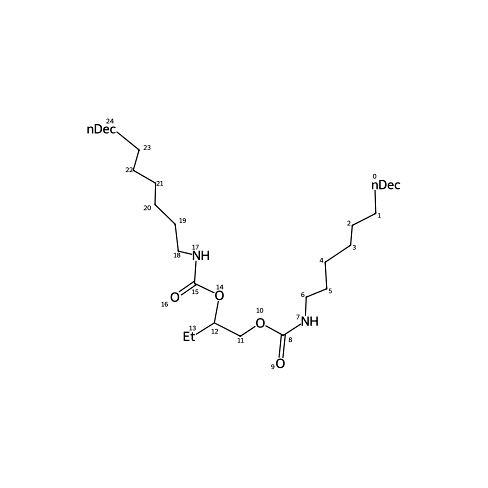 CCCCCCCCCCCCCCCCNC(=O)OCC(CC)OC(=O)NCCCCCCCCCCCCCCCC